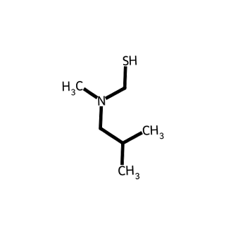 CC(C)CN(C)CS